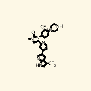 Cn1cc(-c2cc(-c3cnc4[nH]cc(C(F)(F)F)c4c3)ccn2)n(-c2ccc(N3CCNCC3)c(C(F)(F)F)c2)c1=O